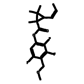 C/C=C\C1C(C)(C)C1(C)C(=O)Oc1cc(F)c(COC)c(F)c1F